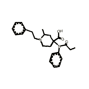 CCC(=O)N(c1ccccc1)C1(C(=O)O)CCN(CCc2ccccc2)C(C)C1